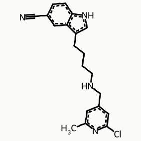 Cc1cc(CNCCCCc2c[nH]c3ccc(C#N)cc23)cc(Cl)n1